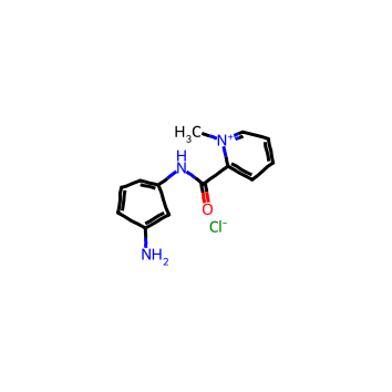 C[n+]1ccccc1C(=O)Nc1cccc(N)c1.[Cl-]